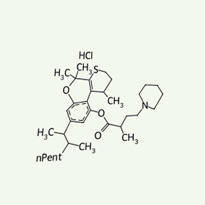 CCCCCC(C)C(C)c1cc(OC(=O)C(C)CCN2CCCCC2)c2c(c1)OC(C)(C)C1=C2C(C)CCS1.Cl